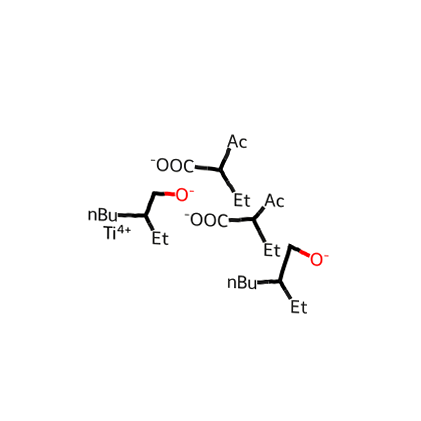 CCC(C(C)=O)C(=O)[O-].CCC(C(C)=O)C(=O)[O-].CCCCC(CC)C[O-].CCCCC(CC)C[O-].[Ti+4]